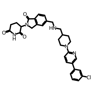 O=C1CCC(N2Cc3cc(CNCC4CCN(c5ccc(-c6cccc(Cl)c6)cn5)CC4)ccc3C2=O)C(=O)N1